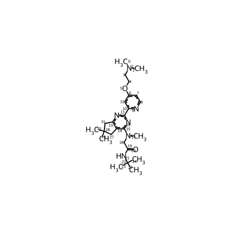 CN(C)CCOc1ccnc(-c2nc3c(c(N(C)CC(=O)NC(C)(C)C)n2)CC(C)(C)C3)c1